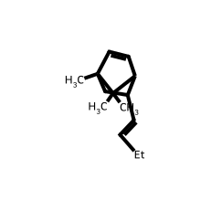 CCC=CC1CC2(C)C=CC1C2(C)C